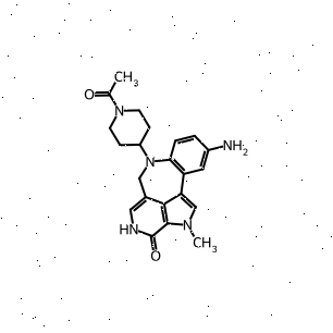 CC(=O)N1CCC(N2Cc3c[nH]c(=O)c4c3c(cn4C)-c3cc(N)ccc32)CC1